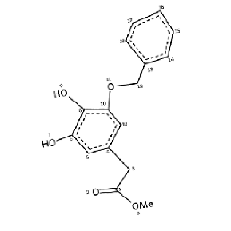 COC(=O)Cc1cc(O)c(O)c(OCc2ccccc2)c1